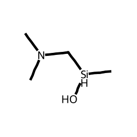 CN(C)C[SiH](C)O